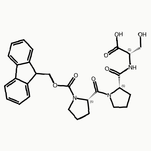 O=C(O)[C@H](CO)NC(=O)[C@@H]1CCCN1C(=O)[C@@H]1CCCN1C(=O)OCC1c2ccccc2-c2ccccc21